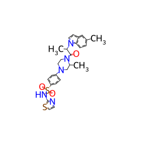 Cc1ccc2c(ccn2C(C)C(=O)N2CCN(c3ccc(S(=O)(=O)Nc4nccs4)cc3)CC2C)c1